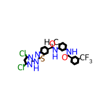 Cc1ccc(NC(=O)c2cccc(C(F)(F)F)c2)cc1NC(=O)c1ccc2nc(Nc3nc(Cl)cc(Cl)n3)sc2c1